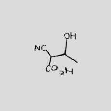 CC(O)C(C#N)C(=O)O